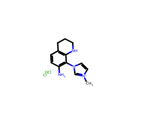 C[n+]1ccn(-c2c(N)ccc3c2NCCC3)c1.Cl.[Cl-]